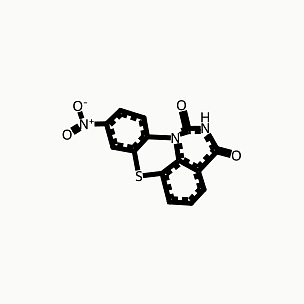 O=c1[nH]c(=O)n2c3c(cccc13)Sc1cc([N+](=O)[O-])ccc1-2